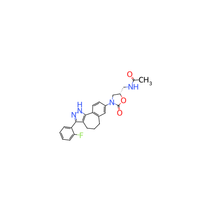 CC(=O)NC[C@H]1CN(c2ccc3c(c2)CCCc2c(-c4ccccc4F)n[nH]c2-3)C(=O)O1